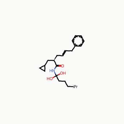 CC(C)CCCC(O)(O)NC(=O)[C@H](CC=CCc1ccccc1)CC1CC1